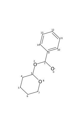 [O]C(OC1CCCCO1)c1ccccc1